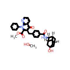 CO.COC(=O)c1c(Cc2ccc(C(=O)N[C@@H]3[C@@H]4C[C@@H]5C[C@H]3C[C@](O)(C5)C4)cc2)c(=O)c2cccnc2n1-c1ccccc1